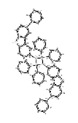 c1ccc(-c2ccc3oc4ccc(N5[Si](c6ccccc6)(c6ccccc6)N(c6ccc7oc8ccc(-c9ccccc9)cc8c7c6)[Si]5(c5ccccc5)c5ccccc5)cc4c3c2)cc1